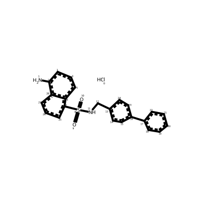 Cl.Nc1cccc2c(S(=O)(=O)NCc3ccc(-c4ccccc4)cc3)cccc12